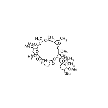 C=CCC1C=C(C)CC(C)CC(OC)C2OC(O)(C(=O)C(=O)N3C(I)CCCC3C(=O)OC(C(C)=CC3(O[SiH](C)C)CCC(C(C)(C)C)C(OC)C3)C(C)C(OC(C)=O)CC1=O)C(C)CC2OC